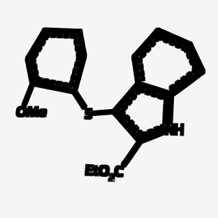 CCOC(=O)c1[nH]c2ccccc2c1Sc1ccccc1OC